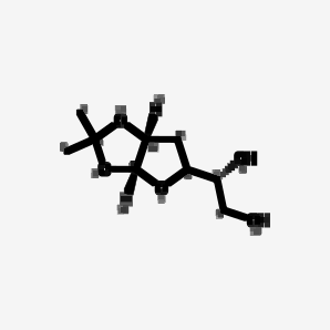 CC1(C)O[C@H]2OC([C@H](O)CO)C[C@H]2O1